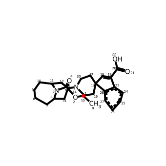 CCOC(=O)N1C2CCCCC1CC(N1CCC3(C=C(C(=O)O)c4ccccc43)CC1)C2